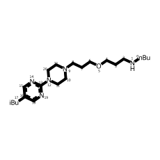 CCCCNCCCOCCCN1CCN(c2ncc(C(C)CC)cn2)CC1